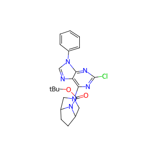 CC(C)(C)OC(=O)N1C2CCC1CN(c1nc(Cl)nc3c1ncn3-c1ccccc1)C2